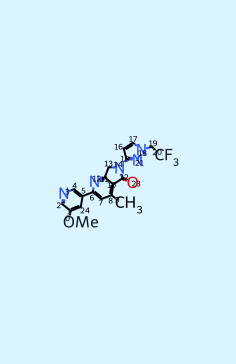 COc1cncc(-c2cc(C)c3c(n2)CN(c2ccn(CC(F)(F)F)n2)C3=O)c1